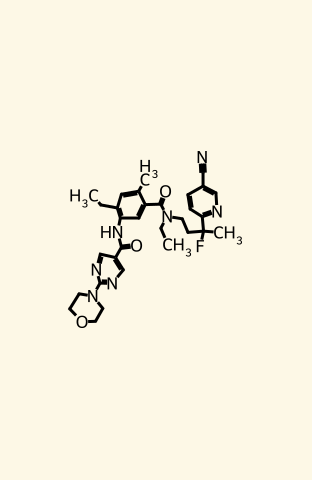 CCc1cc(C)c(C(=O)N(CC)CCC(C)(F)c2ccc(C#N)cn2)cc1NC(=O)c1cnc(N2CCOCC2)nc1